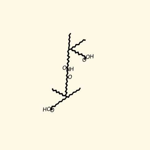 CCCCCCCCC(CCCCCCCCC(=O)O)C(CCCCCCCC)CCCCCCCCC(=O)CCCNC(=O)CCCCCCCCC(CCCCCCCC)C(CCCCCCCC)CCCCCCCCC(=O)O